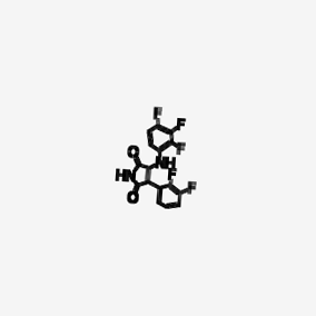 O=C1NC(=O)C(c2cccc(F)c2F)=C1Nc1ccc(F)c(F)c1F